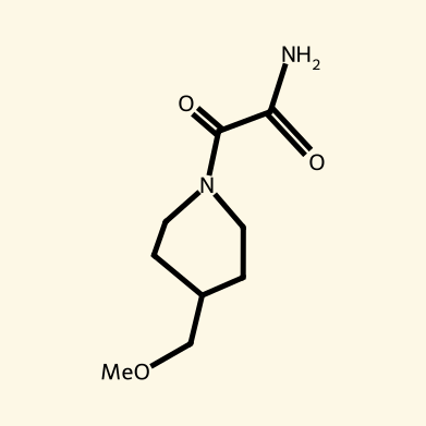 COCC1CCN(C(=O)C(N)=O)CC1